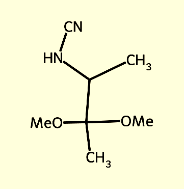 COC(C)(OC)C(C)NC#N